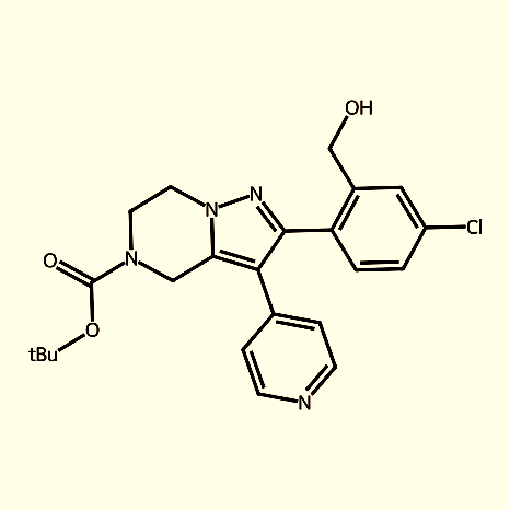 CC(C)(C)OC(=O)N1CCn2nc(-c3ccc(Cl)cc3CO)c(-c3ccncc3)c2C1